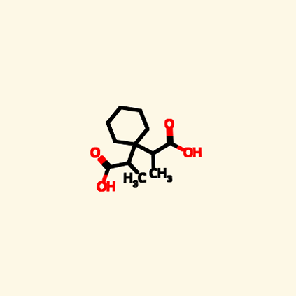 CC(C(=O)O)C1(C(C)C(=O)O)CCCCC1